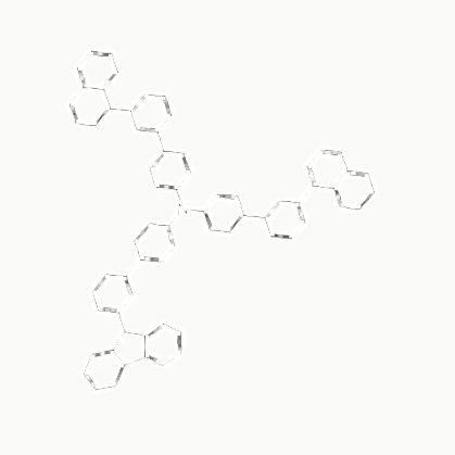 c1cc(-c2ccc(N(c3ccc(-c4cccc(-c5cccc6ccccc56)c4)cc3)c3ccc(-c4cccc(C5c6ccccc6-c6ccccc65)c4)cc3)cc2)cc(-c2cccc3ccccc23)c1